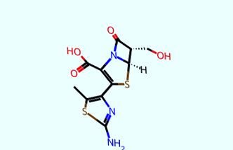 Cc1sc(N)nc1C1=C(C(=O)O)N2C(=O)[C@H](CO)[C@H]2S1